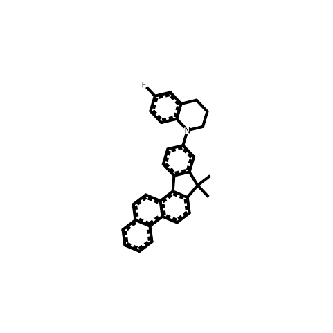 CC1(C)c2cc(N3CCCc4cc(F)ccc43)ccc2-c2c1ccc1c2ccc2ccccc21